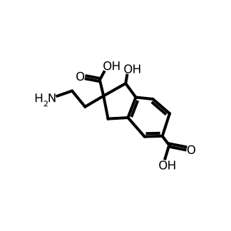 NCCC1(C(=O)O)Cc2cc(C(=O)O)ccc2C1O